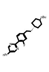 CCCC[C@H]1CC[C@H](CCc2ccc(-c3ncc(CCC)cn3)c(F)c2)CC1